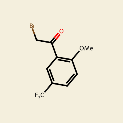 COc1ccc(C(F)(F)F)cc1C(=O)CBr